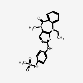 CCN1c2ccccc2C(=O)N(C)c2cnc(Nc3ccc(NS(C)(=O)=O)cc3)nc21